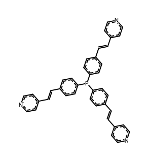 C(=C\c1ccc(P(c2ccc(/C=C/c3ccncc3)cc2)c2ccc(/C=C/c3ccncc3)cc2)cc1)/c1ccncc1